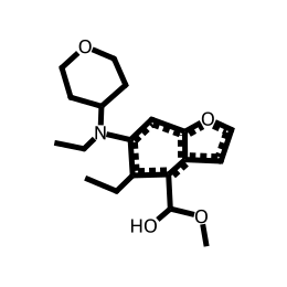 CCc1c(N(CC)C2CCOCC2)cc2occc2c1C(O)OC